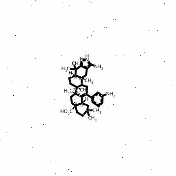 CC1(C)CC[C@]2(C(=O)O)CC[C@]3(C)C(=C(c4cccc(N)c4)CC4[C@@]5(C)Cc6c(n[nH]c6N)C(C)(C)[C@@H]5CC[C@]43C)[C@@H]2C1